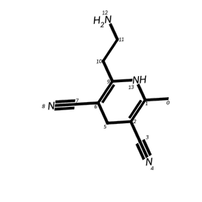 CC1=C(C#N)CC(C#N)=C(CCN)N1